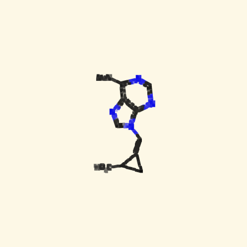 CNc1ncnc2c1ncn2C=C1CC1C(=O)O